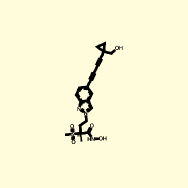 C[C@@](CCn1cc2cc(C#CC#CC3(CO)CC3)ccc2n1)(C(=O)NO)S(C)(=O)=O